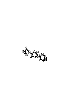 c1cc(-c2ccc(-c3ccncn3)cc2)ncn1